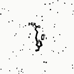 C=Cn1cc[n+](CCCC(N)=O)c1.[Cl-]